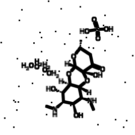 CN[C@@H]1[C@H](O)[C@H](NC)[C@H]2O[C@@]3(O)C(=O)C[C@@H](C)O[C@H]3O[C@@H]2[C@H]1O.O.O.O.O.O=S(=O)(O)O